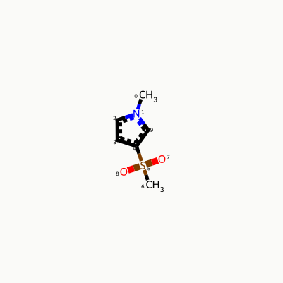 Cn1ccc(S(C)(=O)=O)c1